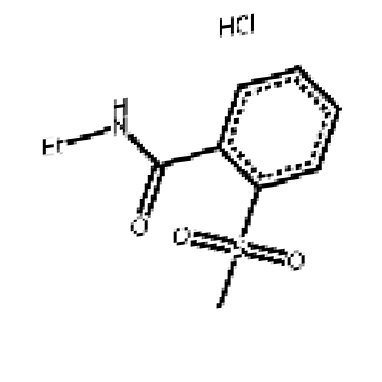 CCNC(=O)c1ccccc1S(C)(=O)=O.Cl